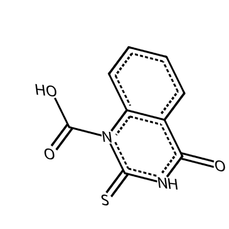 O=C(O)n1c(=S)[nH]c(=O)c2ccccc21